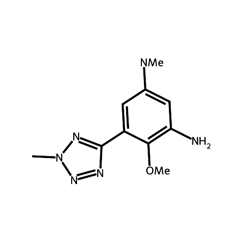 CNc1cc(N)c(OC)c(-c2nnn(C)n2)c1